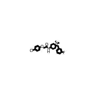 CN(C)C1(Cc2cccc(F)c2)CCC(NC(=O)COc2ccc(Cl)cc2)CC1